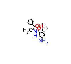 Cc1ccc(N)cc1C(=O)NC(C)[C@H](O)c1ccccc1